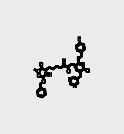 COC(=O)C(CCCCNC(=O)Cn1cc(Cc2cncnc2)c(=O)nc1SCc1ccc(F)cc1)NC(=O)OCc1ccccc1